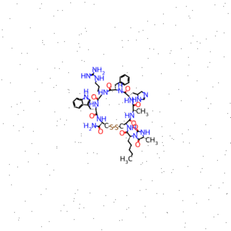 CCCCC[C@@H](C(=O)N[C@H]1CSSC[C@@H](C(N)=O)NC(=O)[C@H](Cc2c[nH]c3ccccc23)NC(=O)[C@H](CCCNC(=N)N)NC(=O)[C@@H](Cc2ccccc2)NC(=O)[C@H](CC2CN=CN2)NC(=O)[C@@H](C)NC1=O)N1C(=O)N[C@H](C)C1=O